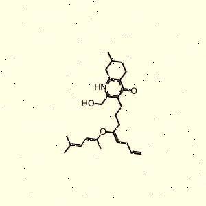 C=CC/C=C(\CCCc1c(CO)[nH]c2c(c1=O)CCC(C)C2)O/C(C)=C/C=C(C)C